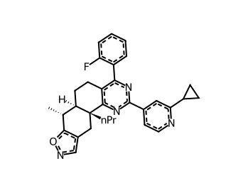 CCC[C@@]12Cc3cnoc3[C@H](C)[C@H]1CCc1c(-c3ccccc3F)nc(-c3ccnc(C4CC4)c3)nc12